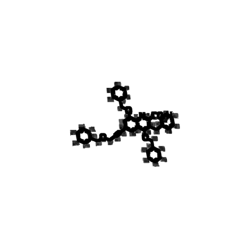 O=C(O)c1nc2c(OCc3ccccc3)cc(C#CCOCc3ccccc3)cc2c(OCc2ccccc2)c1Cc1ccccc1